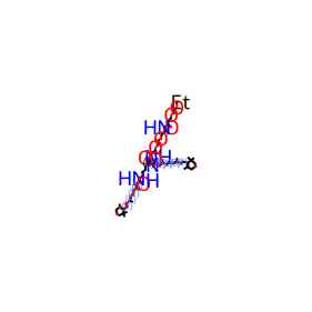 CCOCCOCCC(=O)NCCOCCOCCNC(=O)[C@@H](CCCCNC(=O)/C=C(C)/C=C/C=C(C)/C=C/C1=C(C)CCCC1(C)C)NC(=O)/C=C(C)/C=C/C=C(C)/C=C/C1=C(C)CCCC1(C)C